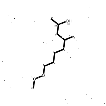 COOCCCCC(C)CC(C)O